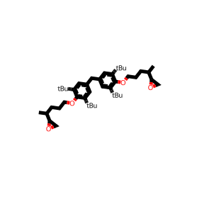 CC(CCCOc1c(C(C)(C)C)cc(Cc2cc(C(C)(C)C)c(OCCCC(C)C3CO3)c(C(C)(C)C)c2)cc1C(C)(C)C)C1CO1